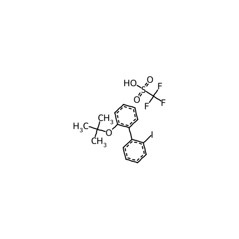 CC(C)(C)Oc1ccccc1-c1ccccc1I.O=S(=O)(O)C(F)(F)F